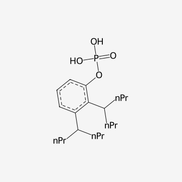 CCCC(CCC)c1cccc(OP(=O)(O)O)c1C(CCC)CCC